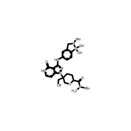 CN(C(=O)C1CCC(CC#N)(n2nc(Nc3ccc4c(c3)CN(C(C)(C)C)S4(O)O)c3c(=O)[nH]ccc32)CO1)C(C)(C)C